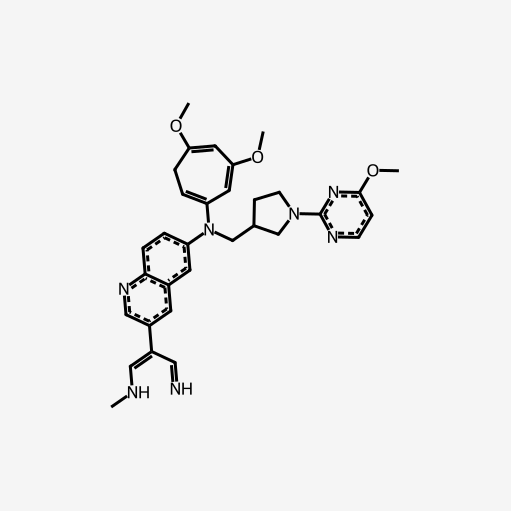 CN/C=C(\C=N)c1cnc2ccc(N(CC3CCN(c4nccc(OC)n4)C3)C3=CCC(OC)=CC(OC)=C3)cc2c1